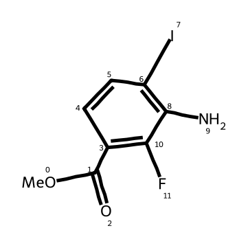 COC(=O)c1ccc(I)c(N)c1F